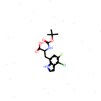 CC(C)(C)OC(=O)NC(Cc1cc(F)c(Cl)c2cc[nH]c12)C(=O)O